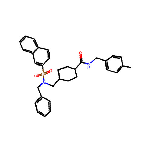 Cc1ccc(CNC(=O)C2CCC(CN(Cc3ccccc3)S(=O)(=O)c3ccc4ccccc4c3)CC2)cc1